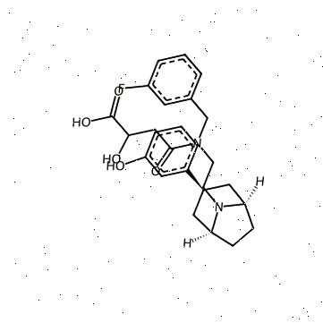 O=C(O)C(O)CC(=O)N(CCN1[C@@H]2CC[C@H]1C[C@@H](c1cccc(O)c1)C2)Cc1cccc(F)c1